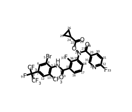 O=C(Nc1c(Br)cc(C(F)(C(F)(F)F)C(F)(F)F)cc1C(F)(F)F)c1cccc(N(OC(=O)C2CC2)C(=O)c2ccc(F)nc2)c1F